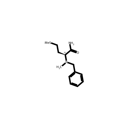 CSCC[C@@H](C(N)=O)N(C)Cc1ccccc1